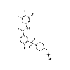 CC(C)(O)CC1CCN(S(=O)(=O)c2cc(C(=O)Nc3cc(F)c(F)c(F)c3)ccc2F)CC1